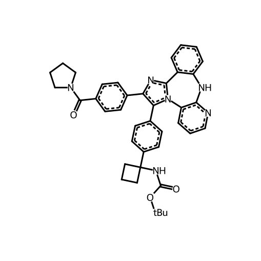 CC(C)(C)OC(=O)NC1(c2ccc(-c3c(-c4ccc(C(=O)N5CCCC5)cc4)nc4n3-c3cccnc3Nc3ccccc3-4)cc2)CCC1